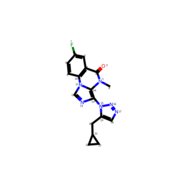 Cn1c(=O)c2cc(F)ccc2n2cnc(-n3nncc3CC3CC3)c12